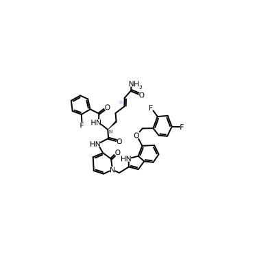 NC(=O)/C=C/CC[C@H](NC(=O)c1ccccc1F)C(=O)Nc1cccn(Cc2cc3cccc(OCc4ccc(F)cc4F)c3[nH]2)c1=O